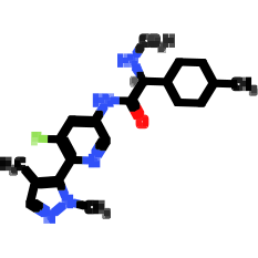 Cc1cnn(C)c1-c1ncc(NC(=O)[C@@H](NC(=O)O)C2CCC(C)CC2)cc1F